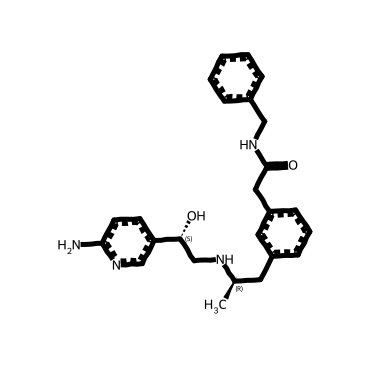 C[C@H](Cc1cccc(CC(=O)NCc2ccccc2)c1)NC[C@@H](O)c1ccc(N)nc1